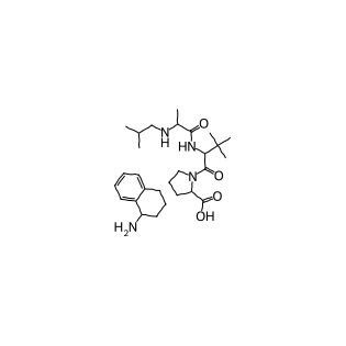 CC(C)CNC(C)C(=O)NC(C(=O)N1CCCC1C(=O)O)C(C)(C)C.NC1CCCc2ccccc21